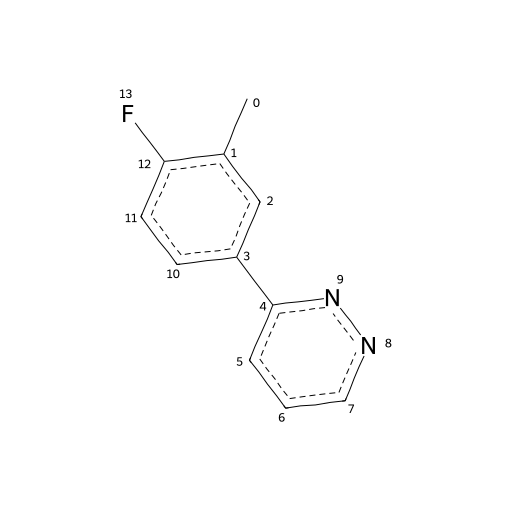 Cc1cc(-c2cccnn2)ccc1F